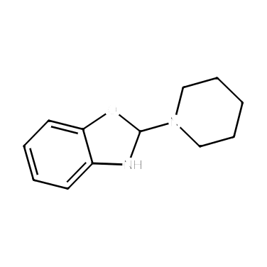 c1ccc2c(c1)NC(N1CCCCC1)O2